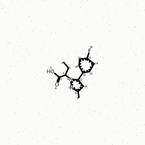 CCC(C(=O)O)n1nc(C)cc1-c1ccc(F)cc1